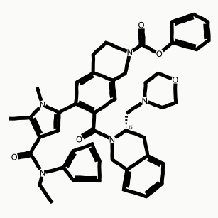 CCN(C(=O)c1cc(-c2cc3c(cc2C(=O)N2Cc4ccccc4C[C@H]2CN2CCOCC2)CN(C(=O)Oc2ccccc2)CC3)n(C)c1C)c1ccccc1